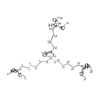 CO[SiH](CCCCCCC(CCCCCC[SiH](OC)OC)(CCCCCC[SiH](OC)OC)O[SiH3])OC